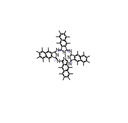 C/N=C1N=C(/N=C2/c3c(c(C)c4c(C)c(C)c(C)c(C)c4c3C)/C3=N/C4=NC(=N\c5c6c(C)c7c(C)c(C)c(C)c(C)c7c(C)c6cn5CN23)/c2c4c(C)c3c(C)c(C)c(C)c(C)c3c2C)c2c\1c(C)c1c(C)c(C)c(C)c(C)c1c2C